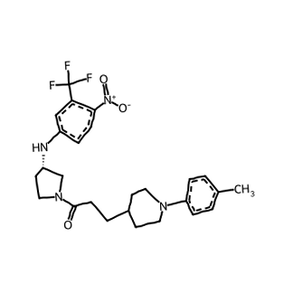 Cc1ccc(N2CCC(CCC(=O)N3CC[C@H](Nc4ccc([N+](=O)[O-])c(C(F)(F)F)c4)C3)CC2)cc1